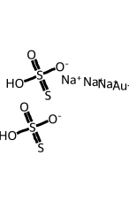 O=S([O-])(O)=S.O=S([O-])(O)=S.[Au].[Na+].[Na+].[Na+]